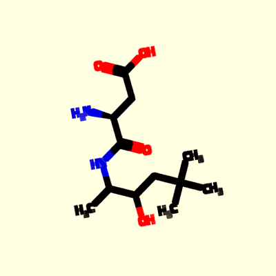 CC(NC(=O)[C@@H](N)CC(=O)O)C(O)CC(C)(C)C